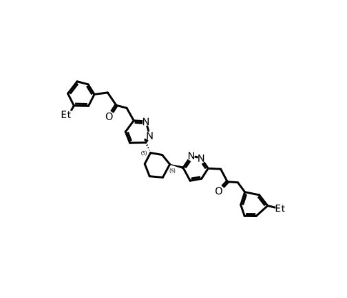 CCc1cccc(CC(=O)Cc2ccc([C@H]3CCC[C@H](c4ccc(CC(=O)Cc5cccc(CC)c5)nn4)C3)nn2)c1